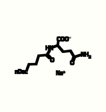 CCCCCCCCCCCCCC(=O)NC(CCC(N)=O)C(=O)[O-].[Na+]